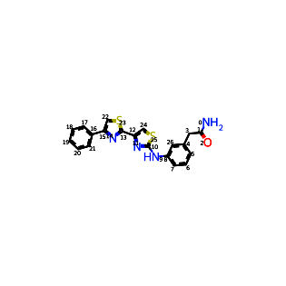 NC(=O)Cc1cccc(Nc2nc(-c3nc(-c4ccccc4)cs3)cs2)c1